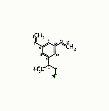 [CH2]C(CF)c1cc(C=C)cc(C=C)c1